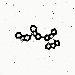 c1ccc2c(c1)Cc1cccc(-n3c4ccccc4c4cc(-c5ccc6c(c5)c5ccccc5n6-c5ccc6sc7ccccc7c6c5)ccc43)c1-2